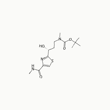 CNC(=O)c1csc([C@H](O)CCN(C)C(=O)OC(C)(C)C)n1